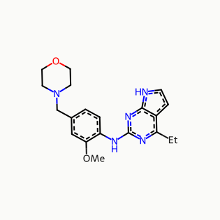 CCc1nc(Nc2ccc(CN3CCOCC3)cc2OC)nc2[nH]ccc12